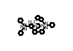 Cc1cccc(-c2c(-c3cccc(-c4nc(-c5ccccc5)nc(-c5ccccc5)n4)c3)cccc2-c2cccc(-c3nc(-c4ccccc4)nc(-c4ccc5ccccc5c4)n3)c2)n1